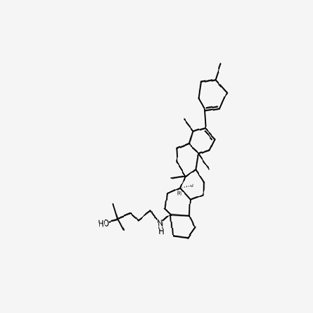 CC1CC=C(C2=CCC3(C)C(CCC4(C)C3CCC3C5CCCC5(NCCCC(C)(C)O)CC[C@]34C)C2C)CC1